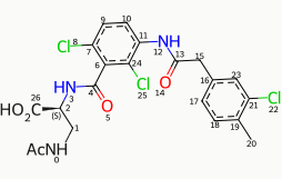 CC(=O)NC[C@H](NC(=O)c1c(Cl)ccc(NC(=O)Cc2ccc(C)c(Cl)c2)c1Cl)C(=O)O